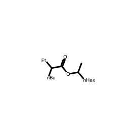 CCCCCCC(C)OC(=O)C(CC)CCCC